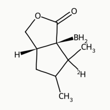 [2H]C1(C)C(C)C[C@@H]2COC(=O)[C@@]21B